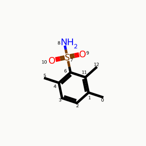 Cc1ccc(C)c(S(N)(=O)=O)c1C